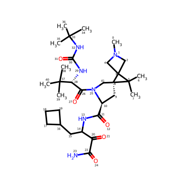 CN1CC2(C1)C(C)(C)[C@]21C[C@@H](C(=O)NC(CC2CCC2)C(=O)C(N)=O)N(C(=O)[C@@H](NC(=O)NC(C)(C)C)C(C)(C)C)C1